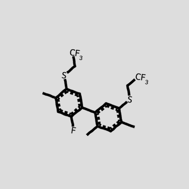 Cc1cc(C)c(-c2cc(SCC(F)(F)F)c(C)cc2F)cc1SCC(F)(F)F